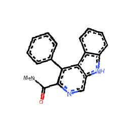 CNC(=O)c1ncc2[nH]c3ccccc3c2c1-c1ccccc1